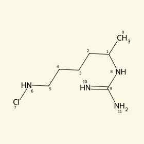 CC(CCCCNCl)NC(=N)N